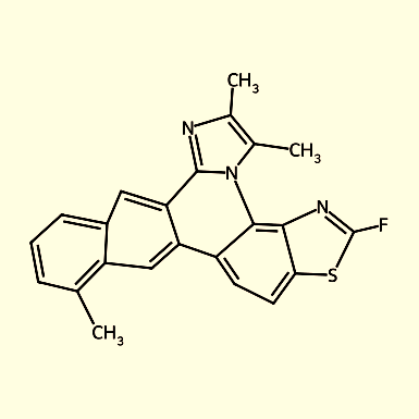 Cc1nc2c3cc4cccc(C)c4cc3c3ccc4sc(F)nc4c3n2c1C